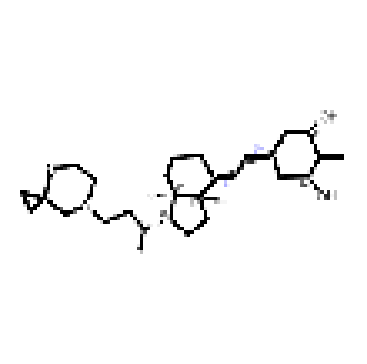 C=C1[C@H](O)C/C(=C/C=C2\CCC[C@]3(C)[C@@H](C(C)CCN4CCOC5(CC5)C4)CC[C@@H]23)C[C@@H]1O